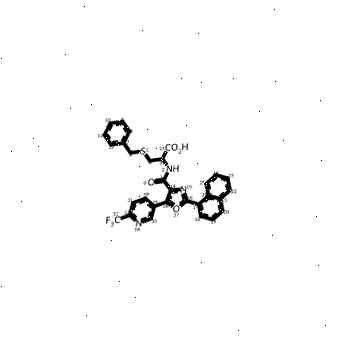 O=C(NC(CSCc1ccccc1)C(=O)O)c1nc(-c2cccc3ccccc23)oc1-c1ccc(C(F)(F)F)nc1